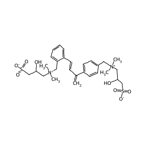 C=C(/C=C/c1ccccc1C[N+](C)(C)CC(O)CS(=O)(=O)[O-])c1ccc(C[N+](C)(C)CC(O)CS(=O)(=O)[O-])cc1